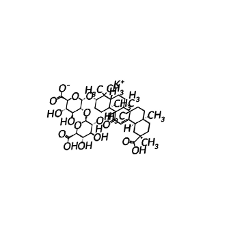 CC1(C)[C@@H](O[C@H]2O[C@H](C(=O)[O-])[C@@H](O)[C@H](O)[C@H]2O[C@@H]2O[C@H](C(=O)O)[C@@H](O)[C@H](O)[C@H]2O)CC[C@]2(C)[C@H]3C(=O)C=C4[C@@H]5C[C@@](C)(C(=O)O)CC[C@]5(C)CC[C@@]4(C)[C@]3(C)CC[C@@H]12.[K+]